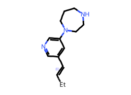 CC/C=C/c1cncc(N2CCCNCC2)c1